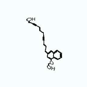 OCC#CCCCC#CCCCc1cc(OCO)c2ccccc2c1